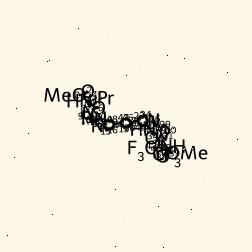 COC(=O)N[C@H](C(=O)N1CCC[C@H]1c1nc2ccc(-c3ccc(-c4ccc5nc([C@@H]6CCCN6C(=O)[C@@H](NC(=O)OC)C(C(F)(F)F)C(F)(F)F)[nH]c5c4)cc3)cc2[nH]1)C(C)C